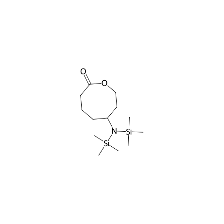 C[Si](C)(C)N(C1CCCC(=O)OCC1)[Si](C)(C)C